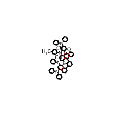 Cc1cc(C)c(N2c3cc4c(cc3B3c5ccccc5Oc5cc(N(c6ccccc6)c6ccccc6)cc2c53)B(c2c(-c3ccccc3)cccc2-c2ccccc2)c2ccc(N(c3ccccc3)c3ccccc3)cc2N4c2ccccc2)c(C)c1